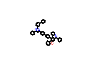 c1ccc(-c2cccc(-c3nc(-c4ccccc4)cc(-c4ccc(-c5ccc(-c6c7c(cc8c(-c9ccccc9)nc9ccccc9c68)oc6ccccc67)cc5)cc4)n3)c2)cc1